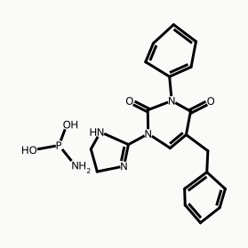 NP(O)O.O=c1c(Cc2ccccc2)cn(C2=NCCN2)c(=O)n1-c1ccccc1